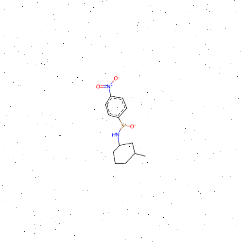 CC1CCCC(N[S+]([O-])c2ccc([N+](=O)[O-])cc2)C1